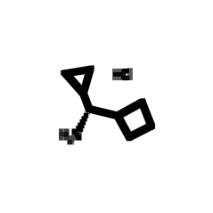 Cl.N[C@@H](C1CCC1)C1CC1